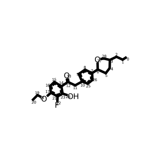 CCCC1CCC(c2ccc(CC(=O)c3ccc(OCC)c(F)c3O)cc2)OC1